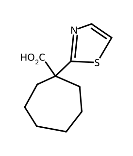 O=C(O)C1(c2nccs2)CCCCCC1